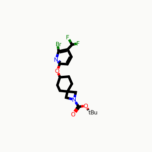 CC(C)(C)OC(=O)N1CC2(CCC(Oc3ccc(C(F)F)c(Br)n3)CC2)C1